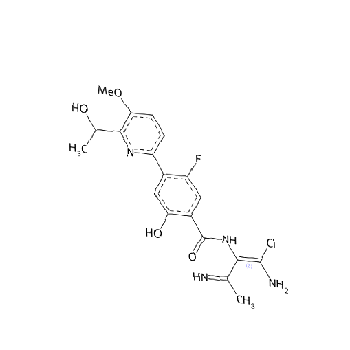 COc1ccc(-c2cc(O)c(C(=O)N/C(C(C)=N)=C(/N)Cl)cc2F)nc1C(C)O